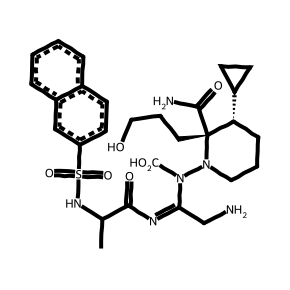 CC(NS(=O)(=O)c1ccc2ccccc2c1)C(=O)N=C(CN)N(C(=O)O)N1CCC[C@@H](C2CC2)[C@@]1(CCCO)C(N)=O